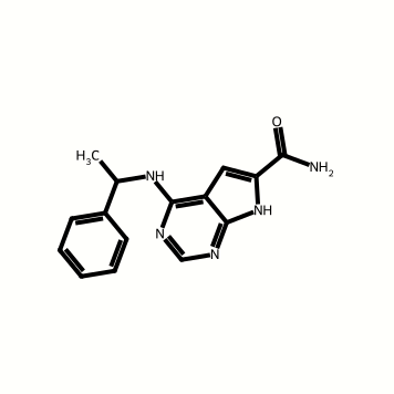 CC(Nc1ncnc2[nH]c(C(N)=O)cc12)c1ccccc1